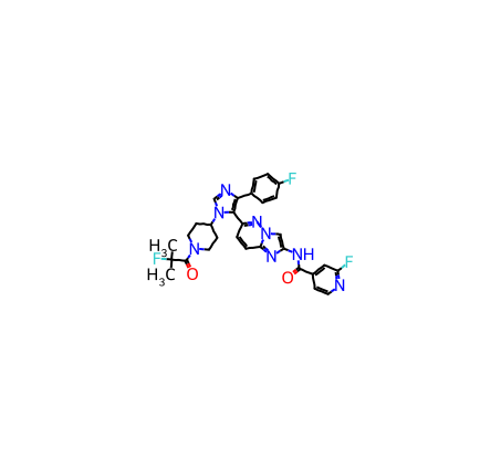 CC(C)(F)C(=O)N1CCC(n2cnc(-c3ccc(F)cc3)c2-c2ccc3nc(NC(=O)c4ccnc(F)c4)cn3n2)CC1